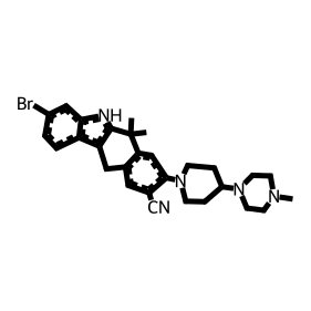 CN1CCN(C2CCN(c3cc4c(cc3C#N)Cc3c([nH]c5cc(Br)ccc35)C4(C)C)CC2)CC1